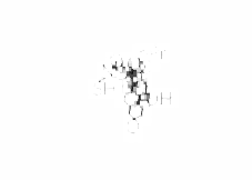 CCCC1O[C@@H]2C[C@H]3[C@@H]4CCC5=CC(=O)C=C[C@]5(C)[C@H]4[C@@H](O)C[C@]3(C)[C@]2(C(=O)COC(=O)N(C)CCS)O1